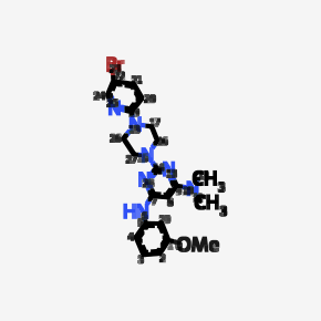 COc1cccc(Nc2cc(N(C)C)nc(N3CCN(c4ccc(Br)cn4)CC3)n2)c1